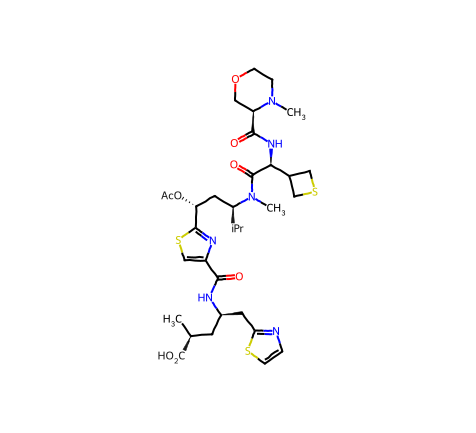 CC(=O)O[C@H](C[C@H](C(C)C)N(C)C(=O)[C@@H](NC(=O)[C@H]1COCCN1C)C1CSC1)c1nc(C(=O)N[C@@H](Cc2nccs2)C[C@H](C)C(=O)O)cs1